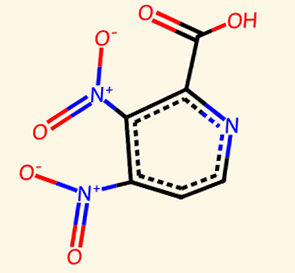 O=C(O)c1nccc([N+](=O)[O-])c1[N+](=O)[O-]